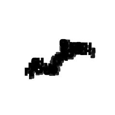 Cn1nc(C(F)F)c2ccc(COc3cccc(C4CCN(Cc5nc6ccc(C(=O)OC(C)(C)C)cc6n5C[C@@H]5CCO5)CC4)n3)cc21